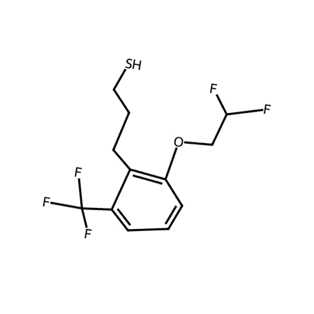 FC(F)COc1cccc(C(F)(F)F)c1CCCS